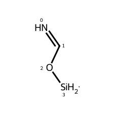 N=CO[SiH2]